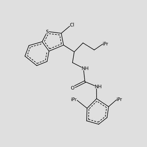 CC(C)CCC(CNC(=O)Nc1c(C(C)C)cccc1C(C)C)c1c(Cl)sc2ccccc12